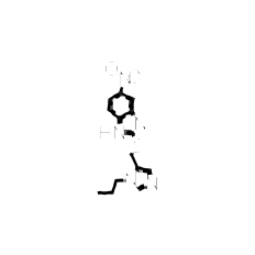 CCCn1cncc1CSc1nc2cc([N+](=O)[O-])ccc2[nH]1